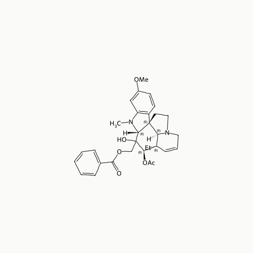 CC[C@]12C=CCN3CC[C@@]4(c5ccc(OC)cc5N(C)[C@H]4C(O)(COC(=O)c4ccccc4)[C@@H]1OC(C)=O)[C@@H]32